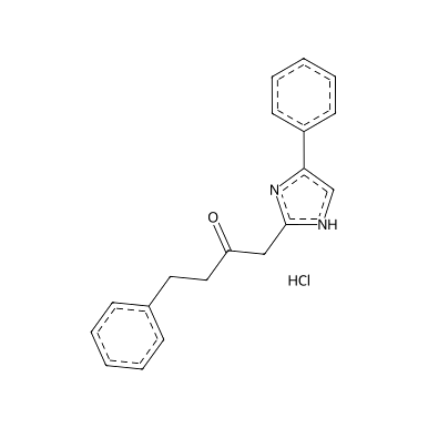 Cl.O=C(CCc1ccccc1)Cc1nc(-c2ccccc2)c[nH]1